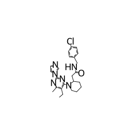 CCc1c(C)nc(-n2ccnc2)nc1N1CCCCC1CC(=O)NCc1ccc(Cl)cc1